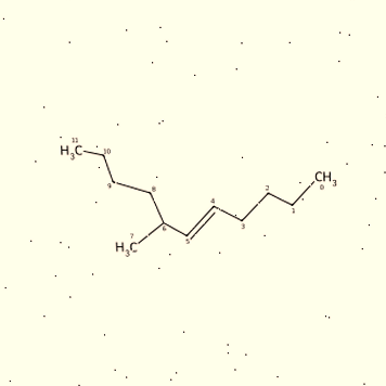 CCCCC=CC(C)CCCC